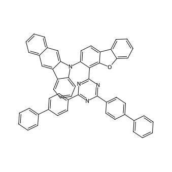 c1ccc(-c2ccc(-c3nc(-c4ccc(-c5ccccc5)cc4)nc(-c4c(-n5c6ccccc6c6cc7ccccc7cc65)ccc5c4oc4ccccc45)n3)cc2)cc1